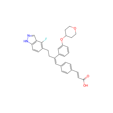 O=C(O)C=Cc1ccc(C=C(CCc2ccc3[nH]ncc3c2F)c2cccc(OC3CCOCC3)c2)cc1